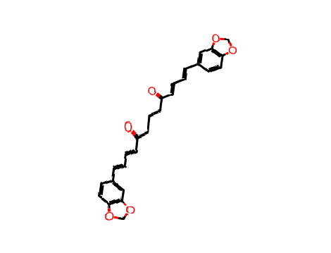 O=C(C=CC=Cc1ccc2c(c1)OCO2)CCCC(=O)C=CC=Cc1ccc2c(c1)OCO2